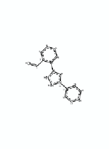 O=Cc1ccccc1-c1cn(-c2ccccc2)nn1